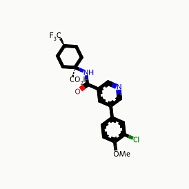 COc1ccc(-c2cncc(C(=O)N[C@]3(C(=O)O)CC[C@H](C(F)(F)F)CC3)c2)cc1Cl